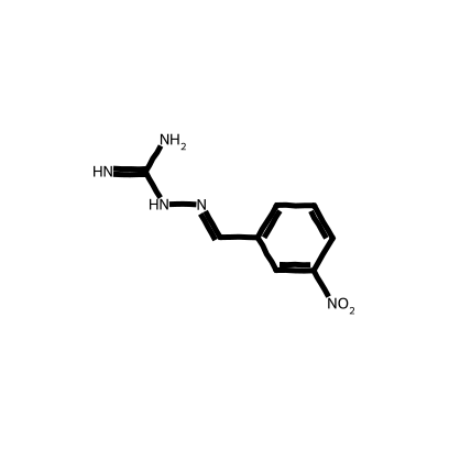 N=C(N)NN=Cc1cccc([N+](=O)[O-])c1